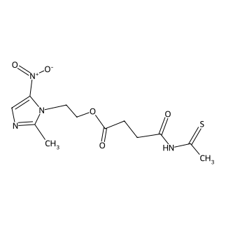 CC(=S)NC(=O)CCC(=O)OCCn1c([N+](=O)[O-])cnc1C